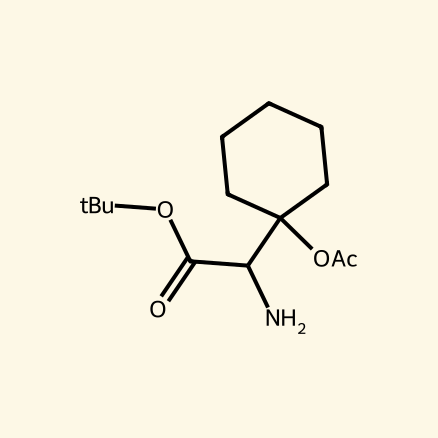 CC(=O)OC1(C(N)C(=O)OC(C)(C)C)CCCCC1